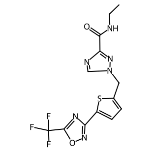 CCNC(=O)c1ncn(Cc2ccc(-c3noc(C(F)(F)F)n3)s2)n1